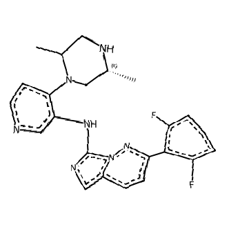 CC1CN[C@H](C)CN1c1ccncc1Nc1ncc2ccc(-c3c(F)cccc3F)nn12